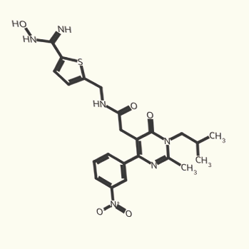 Cc1nc(-c2cccc([N+](=O)[O-])c2)c(CC(=O)NCc2ccc(C(=N)NO)s2)c(=O)n1CC(C)C